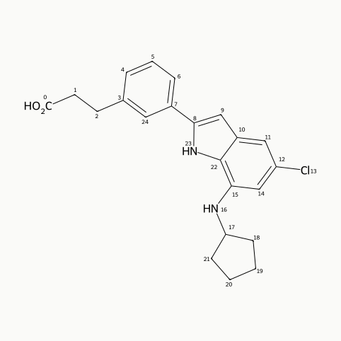 O=C(O)CCc1cccc(-c2cc3cc(Cl)cc(NC4CCCC4)c3[nH]2)c1